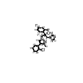 Cc1nn([C@H](C)[C@](O)(Cn2cncn2)c2ccc(F)cc2F)cc1-c1ccccc1Cl